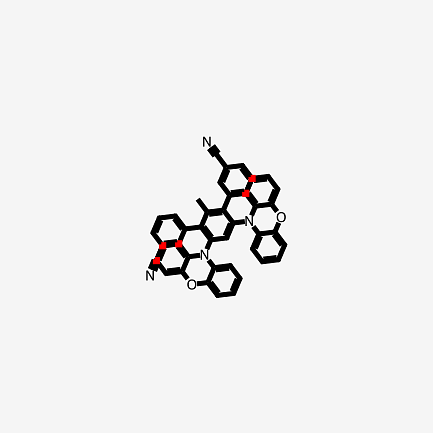 Cc1c(-c2cccc(C#N)c2)c(N2c3ccccc3Oc3ccccc32)cc(N2c3ccccc3Oc3ccccc32)c1-c1cccc(C#N)c1